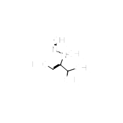 C=NN(C)/C(=C\C)C(C)C